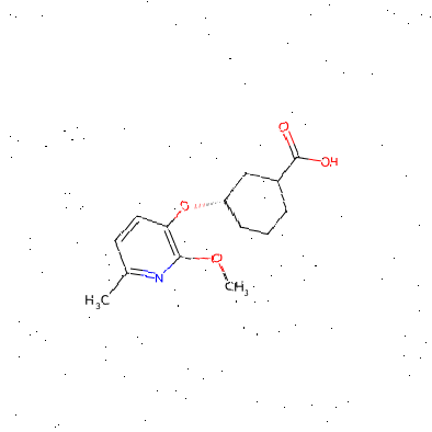 COc1nc(C)ccc1O[C@H]1CCCC(C(=O)O)C1